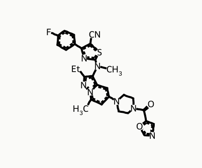 CCc1nn2c(C)cc(N3CCN(C(=O)c4cnco4)CC3)cc2c1N(C)c1nc(-c2ccc(F)cc2)c(C#N)s1